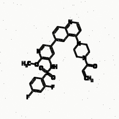 C=CC(=O)N1CCN(c2ccnc3ccc(-c4cnc(OC)c(NS(=O)(=O)c5ccc(F)cc5F)c4)cc23)CC1